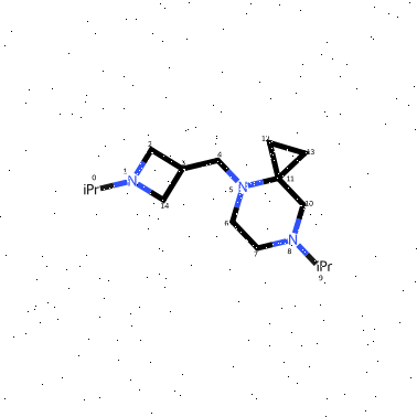 CC(C)N1CC(CN2CCN(C(C)C)CC23CC3)C1